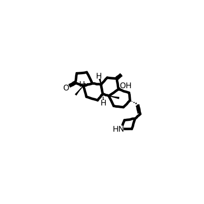 C=C1C[C@H]2[C@@H]3CCC(=O)[C@@]3(C)CC[C@@H]2[C@@]2(C)CC[C@@H](/C=C\C3CNC3)C[C@]12O